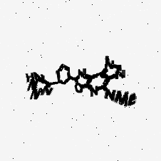 CNc1nc2oc(-c3cccc(-c4nnn[nH]4)c3)nc2c2c1ncn2C